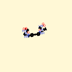 COC(=O)NC[C@H](C(=O)N(CC1(C)CC1)[C@@H](C)c1nc2cc(C#Cc3ccc(-c4c[nH]c([C@@H]5CCCN5C(=O)[C@@H](NC(=O)OC)C(C)C)n4)cc3)ccc2[nH]1)C(C)C